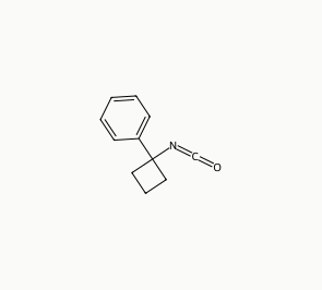 O=C=NC1(c2ccccc2)CCC1